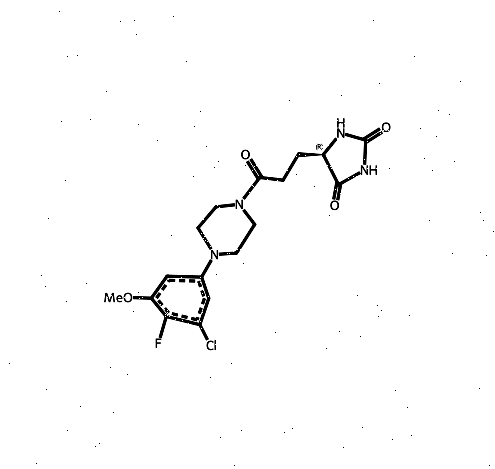 COc1cc(N2CCN(C(=O)CC[C@H]3NC(=O)NC3=O)CC2)cc(Cl)c1F